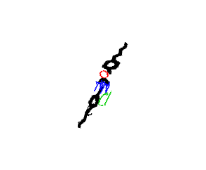 CCCCCc1ccc(-c2ncc(OCC3CCC(CCCCC)CC3)cn2)c(Cl)c1